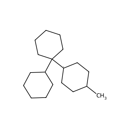 CC1CC[C](C2(C3CCCCC3)CCCCC2)CC1